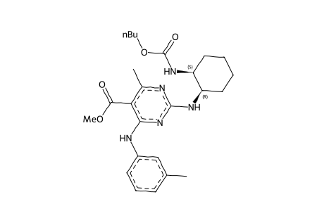 CCCCOC(=O)N[C@H]1CCCC[C@H]1Nc1nc(C)c(C(=O)OC)c(Nc2cccc(C)c2)n1